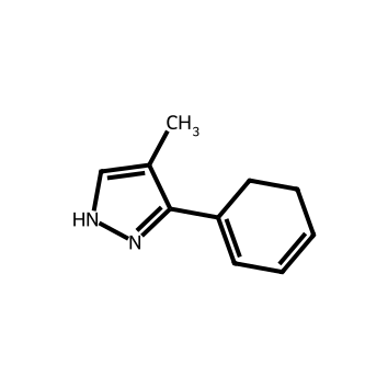 Cc1c[nH]nc1C1=CC=CCC1